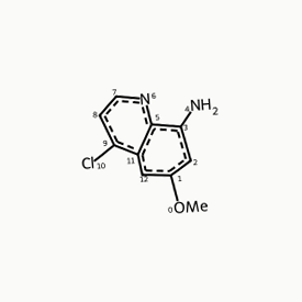 COc1cc(N)c2nccc(Cl)c2c1